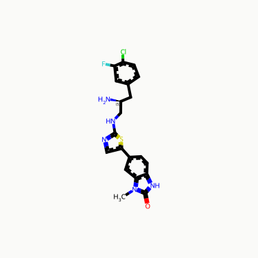 Cn1c(=O)[nH]c2ccc(-c3cnc(NC[C@@H](N)Cc4ccc(Cl)c(F)c4)s3)cc21